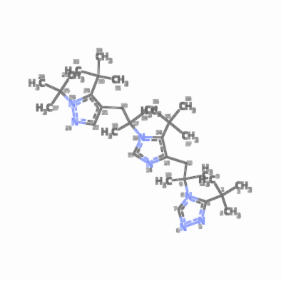 CC(C)(C)c1nncn1C(C)(C)Cc1ncn(C(C)(C)Cc2cnn(C(C)(C)C)c2C(C)(C)C)c1C(C)(C)C